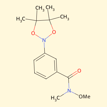 CON(C)C(=O)c1cccc(N2OC(C)(C)C(C)(C)O2)c1